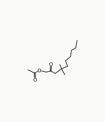 CCCCCCC(C)(C)CC(=O)COC(C)=O